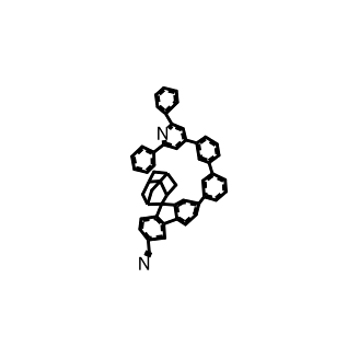 N#Cc1ccc2c(c1)-c1ccc(-c3cccc(-c4cccc(-c5cc(-c6ccccc6)nc(-c6ccccc6)c5)c4)c3)cc1C21C2CC3CC(C2)CC1C3